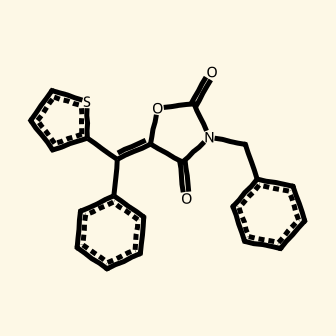 O=C1OC(=C(c2ccccc2)c2cccs2)C(=O)N1Cc1ccccc1